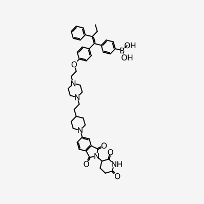 CC/C(=C(/c1ccc(OCCN2CCN(CCC3CCN(c4ccc5c(c4)C(=O)N(C4CCC(=O)NC4=O)C5=O)CC3)CC2)cc1)c1ccc(B(O)O)cc1)c1ccccc1